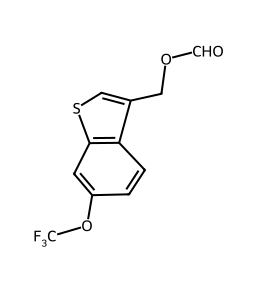 O=COCc1csc2cc(OC(F)(F)F)ccc12